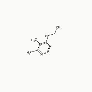 CCNc1ncnc(C)c1C